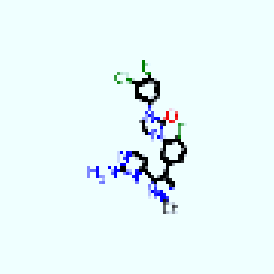 CCn1cc(-c2ccc(F)c(N3CCN(c4ccc(F)c(Cl)c4)C3=O)c2)c(-c2ccnc(N)n2)n1